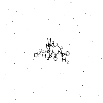 NC1CCN([PH2]=O)C(=O)[C@@]1(N)NCCCl